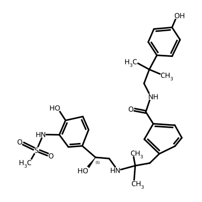 CC(C)(Cc1cccc(C(=O)NCC(C)(C)c2ccc(O)cc2)c1)NC[C@@H](O)c1ccc(O)c(NS(C)(=O)=O)c1